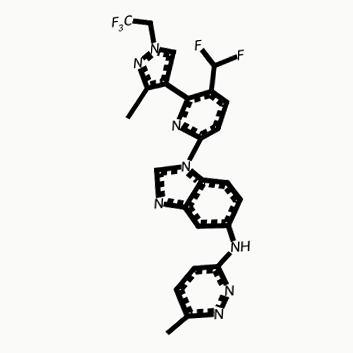 Cc1ccc(Nc2ccc3c(c2)ncn3-c2ccc(C(F)F)c(-c3cn(CC(F)(F)F)nc3C)n2)nn1